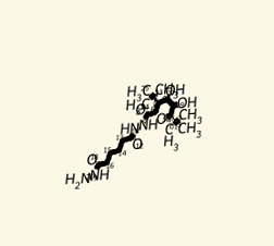 CC(C)(C)[C@@H]1OC(C(=O)NNC(=O)CCCCC(=O)NN)[C@@H](C(C)(C)C)[C@@H](O)C1O